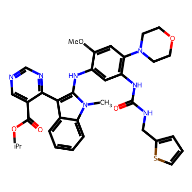 COc1cc(N2CCOCC2)c(NC(=O)NCc2cccs2)cc1Nc1c(-c2ncncc2C(=O)OC(C)C)c2ccccc2n1C